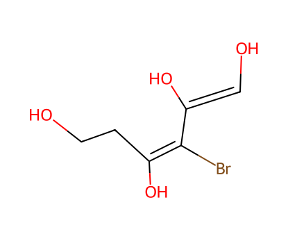 O/C=C(O)/C(Br)=C(/O)CCO